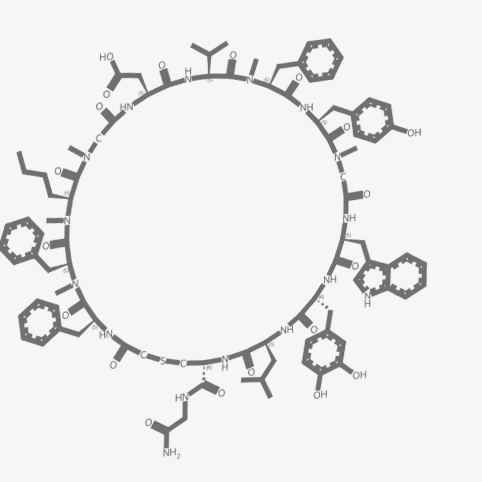 CCCC[C@H]1C(=O)N(C)CC(=O)N[C@@H](CC(=O)O)C(=O)N[C@@H](C(C)C)C(=O)N(C)[C@@H](Cc2ccccc2)C(=O)N[C@@H](Cc2ccc(O)cc2)C(=O)N(C)CC(=O)N[C@@H](Cc2c[nH]c3ccccc23)C(=O)N[C@H](Cc2ccc(O)c(O)c2)C(=O)N[C@@H](CC(C)C)C(=O)N[C@H](C(=O)NCC(N)=O)CSCC(=O)N[C@@H](Cc2ccccc2)C(=O)N(C)[C@@H](Cc2ccccc2)C(=O)N1C